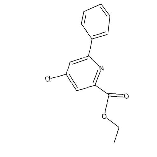 CCOC(=O)c1cc(Cl)cc(-c2ccccc2)n1